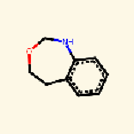 c1ccc2c(c1)CCOCN2